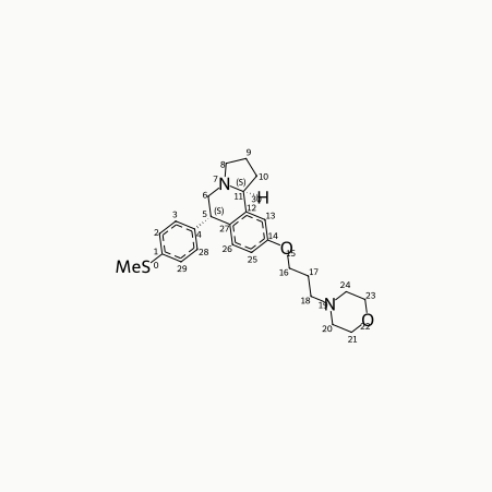 CSc1ccc([C@@H]2CN3CCC[C@H]3c3cc(OCCCN4CCOCC4)ccc32)cc1